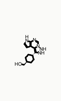 OC[C@H]1CC[C@H](C2=C3c4cc[nH]c4N=CN3NN2)CC1